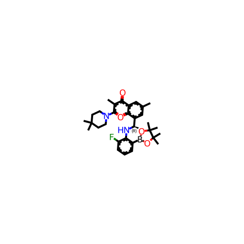 Cc1cc([C@@H](C)Nc2c(F)cccc2B2OC(C)(C)C(C)(C)O2)c2oc(N3CCC(C)(C)CC3)c(C)c(=O)c2c1